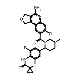 C[C@H]1CCC(c2cc(F)c3c(c2)OC2(CC2)C(=O)N3)N(C(=O)c2cc3c4c(c(N)nc3cc2Cl)COC4)C1